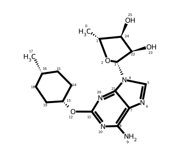 C[C@H]1O[C@@H](n2cnc3c(N)nc(O[C@H]4CC[C@@H](C)CC4)nc32)[C@H](O)[C@@H]1O